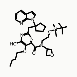 CCCCOc1c(O)nc(CC2(n3ccc4cccnc43)CCCC2)nc1C(=O)N(CCO[Si](C)(C)C(C)(C)C)C1COC1